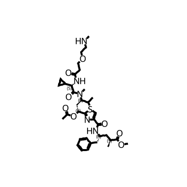 CNCCOCCC(=O)N[C@H](C(=O)N(C)[C@H](C[C@@H](OC(C)=O)c1nc(C(=O)N[C@@H](Cc2ccccc2)C[C@H](C)C(=O)OC)cs1)C(C)C)C1CC1